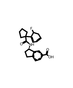 O=C(O)c1ccc2c(c1)[C@H](NC(=O)C1(C3=CC=CCC3F)CCCC1)CC2